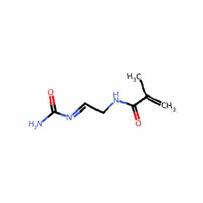 C=C(C)C(=O)NCC=NC(N)=O